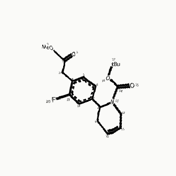 COC(=O)Cc1ccc(C2CC=CCN2C(=O)OC(C)(C)C)cc1F